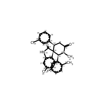 Cc1ccc(F)cc1[C@@H]1N(C)C(=O)C[C@H](c2cccc(Cl)c2)[C@@]12C(=O)Nc1cc(Cl)ccc12